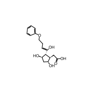 O=C(O)C[C@@H]1[C@@H](C(O)=CCCOc2ccccc2)[C@H](O)C[C@@H]1O